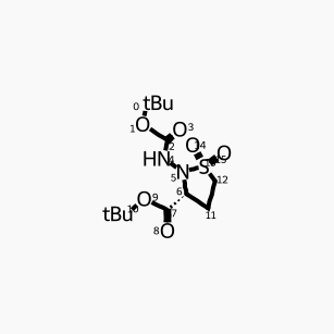 CC(C)(C)OC(=O)NN1[C@@H](C(=O)OC(C)(C)C)CCS1(=O)=O